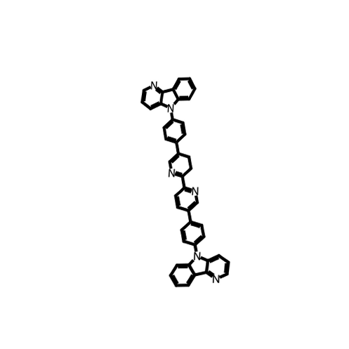 C1=C(c2ccc(-n3c4ccccc4c4ncccc43)cc2)CCC(c2ccc(-c3ccc(-n4c5ccccc5c5ncccc54)cc3)cn2)=N1